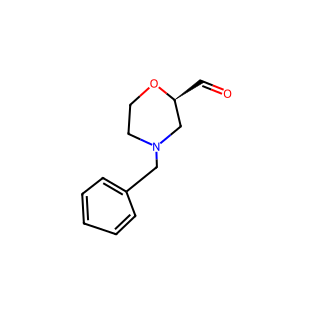 O=C[C@H]1CN(Cc2ccccc2)CCO1